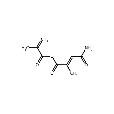 C=C(C)C(=O)OC(=O)C(C)=CC(N)=O